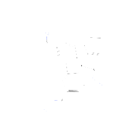 NNC(=O)c1ccc2c(c1)-c1cc(C(=O)NN)ccc1C2(C(=O)NN)c1ccccc1